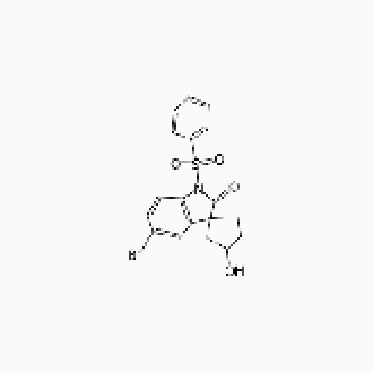 O=C1N(S(=O)(=O)c2ccccc2)c2ccc(Br)cc2C12CCC(O)C2